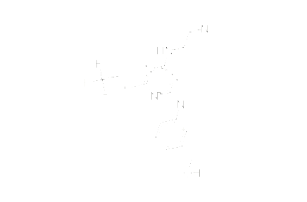 NCCNc1nc(Nc2cccc(CO)c2)nc(OCC(F)(F)F)n1